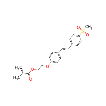 C=C(C)C(=O)OCCOc1ccc(C=Cc2ccc(S(C)(=O)=O)cc2)cc1